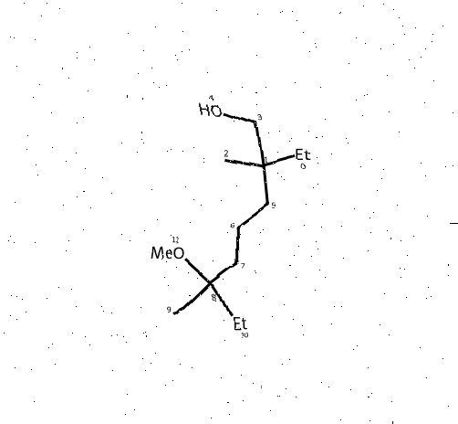 CCC(C)(CO)CCCC(C)(CC)OC